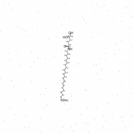 CCCCCCCCCCCCCCCCCCCCCCCCCCCCCCCNC(=O)CCC[C@H](O)CO